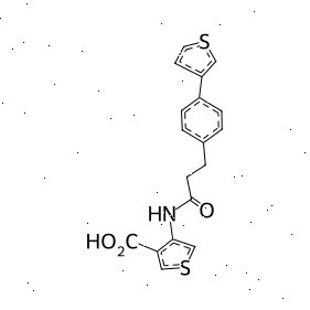 O=C(CCc1ccc(-c2ccsc2)cc1)Nc1cscc1C(=O)O